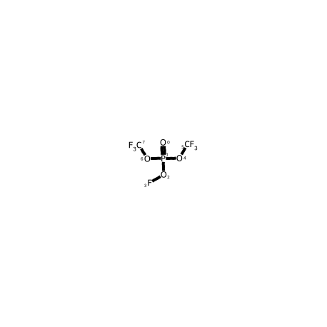 O=P(OF)(OC(F)(F)F)OC(F)(F)F